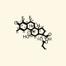 CCC(=O)O[C@@]1(C(=O)O)CC[C@H]2[C@@H]3C[C@H](F)C4=C(F)C(=O)C(C)=C[C@]4(C)[C@@]3(F)[C@@H](O)C[C@@]21C